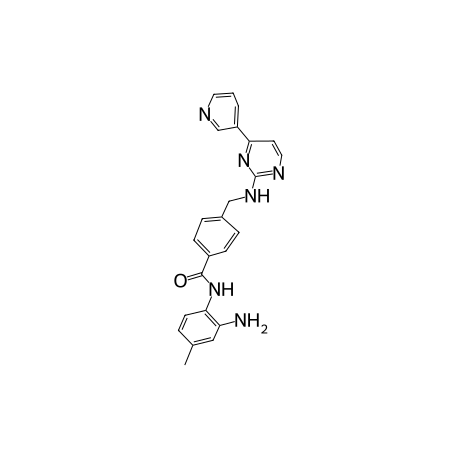 Cc1ccc(NC(=O)c2ccc(CNc3nccc(-c4cccnc4)n3)cc2)c(N)c1